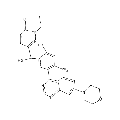 CCn1nc(C(O)c2cc(-c3ncnc4cc(N5CCOCC5)ccc34)c(P)cc2O)ccc1=O